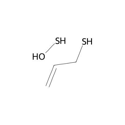 C=CCS.OS